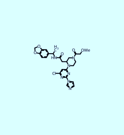 COCC(=O)N1CCN(c2cc(Cl)nc(-n3ccnc3)n2)C(CC(=O)NC(C)c2ccc3c(c2)OCO3)C1